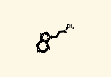 CSCCn1cnc2cncnc21